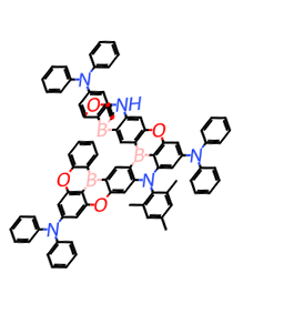 Cc1cc(C)c(N2c3cc4c(cc3B3c5cc6c(cc5Oc5cc(N(c7ccccc7)c7ccccc7)cc2c53)Nc2cc(N(c3ccccc3)c3ccccc3)cc3c2B6c2ccccc2O3)B2c3ccccc3Oc3cc(N(c5ccccc5)c5ccccc5)cc(c32)O4)c(C)c1